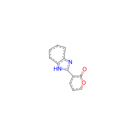 O=c1occcc1-c1nc2ccccc2[nH]1